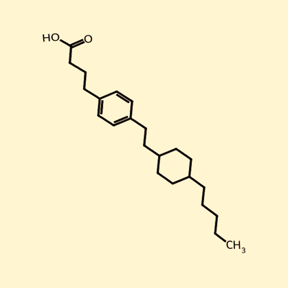 CCCCCC1CCC(CCc2ccc(CCCC(=O)O)cc2)CC1